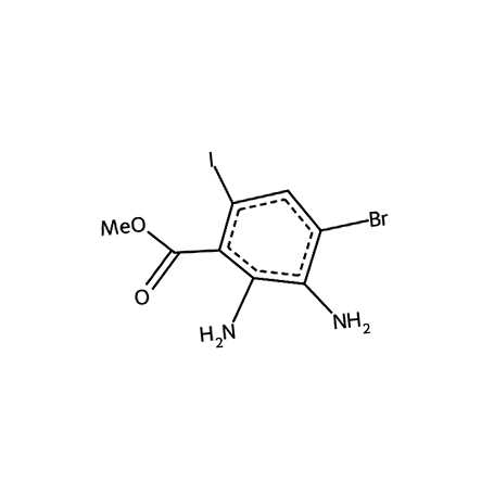 COC(=O)c1c(I)cc(Br)c(N)c1N